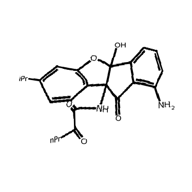 CCCC(=O)C(=O)NC12C(=O)c3c(N)cccc3C1(O)Oc1cc(C(C)C)ccc12